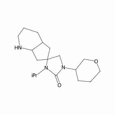 CC(C)N1C(=O)N(C2CCCOC2)CC12CC1CCCNC1C2